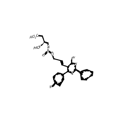 CC(C)c1nc(-c2ccccc2)nc(-c2ccc(F)cc2)c1C=CCO[PH](=O)C[C@@H](O)CC(=O)O